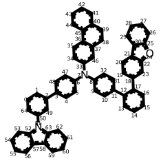 c1cc(-c2ccc(N(c3ccc(-c4ccccc4-c4ccc5c(c4)oc4ccccc45)cc3)c3ccc4c(ccc5ccccc54)c3)cc2)cc(-n2c3ccccc3c3ccccc32)c1